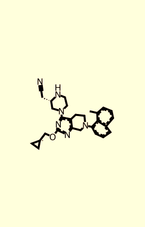 Cc1cccc2cccc(N3CCc4c(nc(OC[C]5CC5)nc4N4CCN[C@@H](CC#N)C4)C3)c12